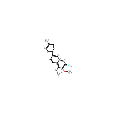 CCc1ccc(-c2ccc3c(CC(C)=O)c(OC(F)(F)F)c(F)cc3c2)cc1